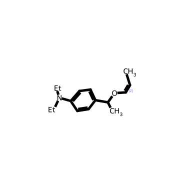 C/C=C\OC(C)c1ccc(N(CC)CC)cc1